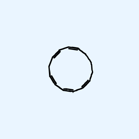 [C]1=CC=CCC=CC=CCCCC=C1